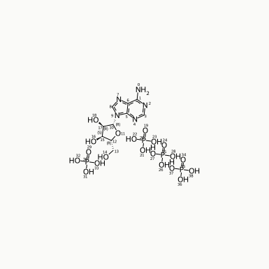 Nc1ncnc2c1ncn2[C@@H]1O[C@H](CO)[C@@H](O)[C@H]1O.O=P(O)(O)O.O=P(O)(O)O.O=P(O)(O)O.O=P(O)(O)O